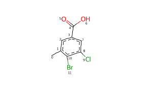 Cc1cc(C(=O)O)cc(Cl)c1Br